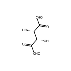 O=CC(=O)[C@@H](O)[C@H](O)C(=O)C=O